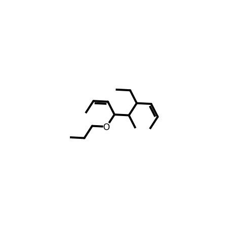 C/C=C\C(CC)C(C)C(/C=C\C)OCCC